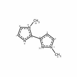 Cn1ccc(-c2nccn2C)n1